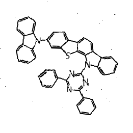 c1ccc(-c2nc(-c3ccccc3)nc(-n3c4ccccc4c4ccc5c6ccc(-n7c8ccccc8c8ccccc87)cc6sc5c43)n2)cc1